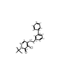 CC(C)(C)n1ncc(SCc2cccc(-c3ccccc3)c2)c(Cl)c1=O